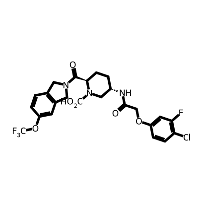 O=C(COc1ccc(Cl)c(F)c1)N[C@H]1CC[C@H](C(=O)N2Cc3ccc(OC(F)(F)F)cc3C2)N(C(=O)O)C1